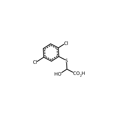 O=C(O)C(O)Sc1cc(Cl)ccc1Cl